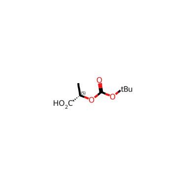 C[C@H](OC(=O)OC(C)(C)C)C(=O)O